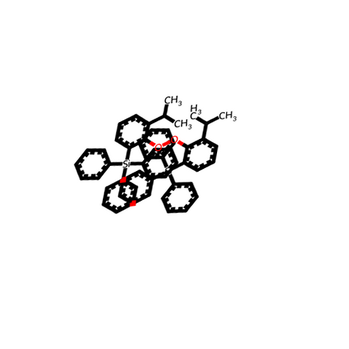 CC(C)c1cccc([Si](c2ccccc2)(c2ccccc2)c2ccccc2)c1OOc1c(C(C)C)cccc1[Si](c1ccccc1)(c1ccccc1)c1ccccc1